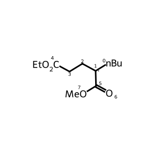 CCCC[C](CCC(=O)OCC)C(=O)OC